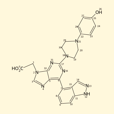 O=C(O)Cn1cnc2c(-c3cccc4[nH]ncc34)nc(N3CCN(c4ccc(O)cc4)CC3)nc21